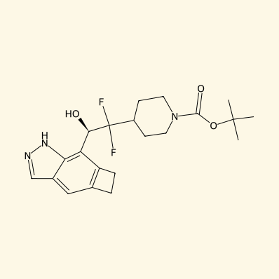 CC(C)(C)OC(=O)N1CCC(C(F)(F)[C@H](O)c2c3c(cc4cn[nH]c24)CC3)CC1